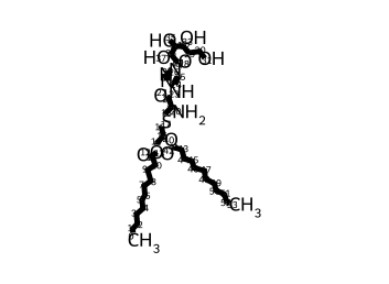 CCCCCCCCCCCC(=O)OCC(CSCC(N)C(=O)Nc1cn([C@H]2OC(CO)C(O)C(O)C2O)nn1)OC(=O)CCCCCCCCCCC